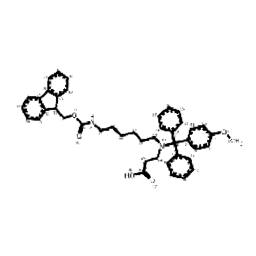 COc1ccc(C(c2ccccc2)(c2ccccc2)N(CCCCCCNC(=O)OCC2c3ccccc3-c3ccccc32)CCC(=O)O)cc1